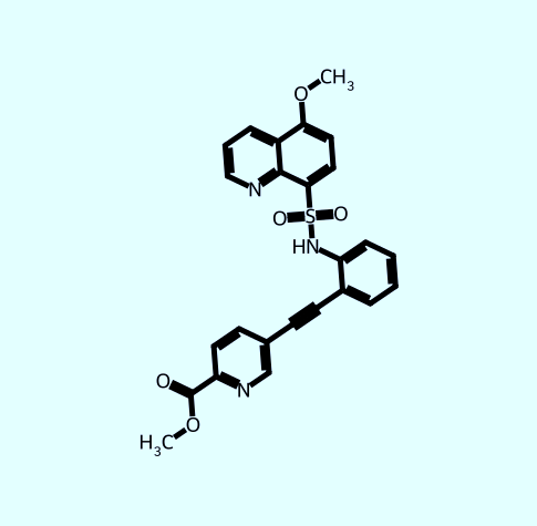 COC(=O)c1ccc(C#Cc2ccccc2NS(=O)(=O)c2ccc(OC)c3cccnc23)cn1